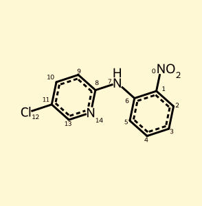 O=[N+]([O-])c1ccccc1Nc1ccc(Cl)cn1